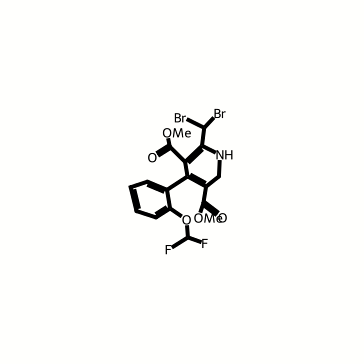 COC(=O)C1=C(c2ccccc2OC(F)F)C(C(=O)OC)=C(C(Br)Br)NC1